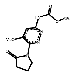 COc1cc(NC(=O)OC(C)(C)C)nnc1N1CCCC1=O